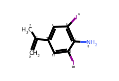 C=C(C)c1cc(I)c(N)c(I)c1